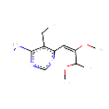 CCc1c(/C=C(/OC)C(C)OC)ncnc1NC